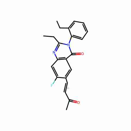 CCc1ccccc1-n1c(CC)nc2cc(F)c(/C=C/C(C)=O)cc2c1=O